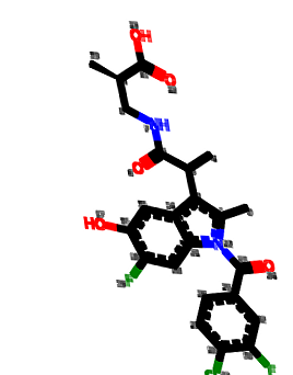 Cc1c(C(C)C(=O)NC[C@@H](C)C(=O)O)c2cc(O)c(F)cc2n1C(=O)c1ccc(Cl)c(F)c1